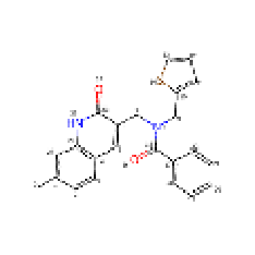 Cc1ccc2cc(CN(Cc3cccs3)C(=O)c3ccccc3)c(=O)[nH]c2c1